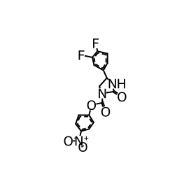 O=C1NC(c2ccc(F)c(F)c2)CN1C(=O)Oc1ccc([N+](=O)[O-])cc1